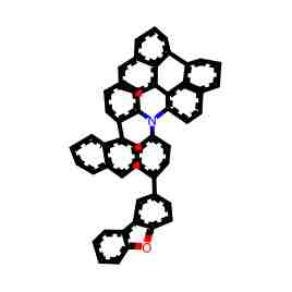 c1ccc(-c2cccc3cccc(-c4ccccc4N(c4ccc(-c5ccc6oc7ccccc7c6c5)cc4)c4ccccc4-c4cccc5ccccc45)c23)cc1